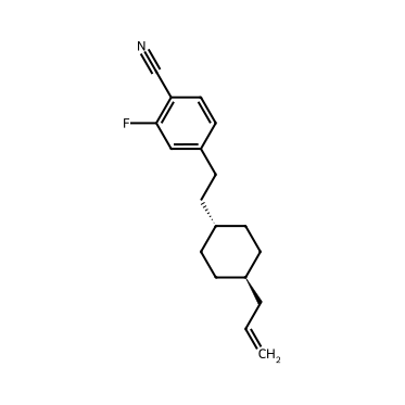 C=CC[C@H]1CC[C@H](CCc2ccc(C#N)c(F)c2)CC1